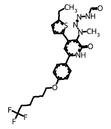 CCc1ccc(-c2cc(-c3ccc(OCCCCCC(F)(F)F)cc3)[nH]c(=O)c2N(C)/N=N\NC=O)s1